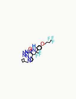 O=C1NC(c2ccc(OCCCC(F)(F)F)cc2F)(C(F)(F)F)CC(c2ccn(CC3CCC3)n2)=C1c1nnn[nH]1